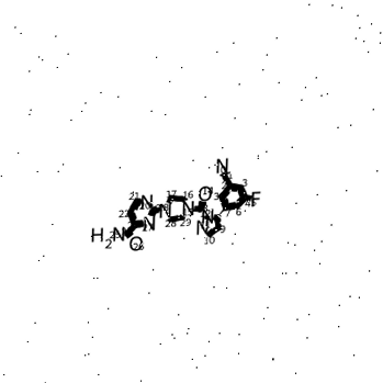 N#Cc1cc(F)cc([C@@H]2CC=NN2C(=O)N2CCN(c3nccc(C(N)=O)n3)CC2)c1